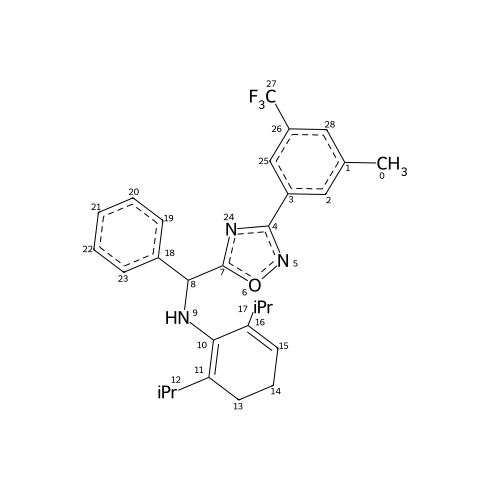 Cc1cc(-c2noc(C(NC3=C(C(C)C)CCC=C3C(C)C)c3ccccc3)n2)cc(C(F)(F)F)c1